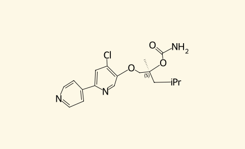 CC(C)C[C@@](C)(COc1cnc(-c2ccncc2)cc1Cl)OC(N)=O